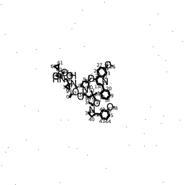 C=C[C@@H]1C[C@]1(NC(=O)[C@@H]1C[C@@H](Oc2cc(-c3ccccc3)nc3cc(OC)ccc23)CN1C(=O)[C@@H](CC(=O)N1CCC1c1cccc(OC)c1)C(C)(C)C)C(=O)NS(=O)(=O)C1CC1